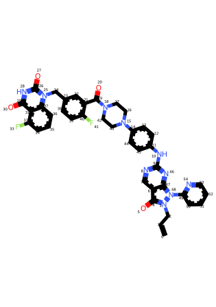 C=CCn1c(=O)c2cnc(Nc3ccc(N4CCN(C(=O)c5cc(Cn6c(=O)[nH]c(=O)c7c(F)cccc76)ccc5F)CC4)cc3)nc2n1-c1ccccn1